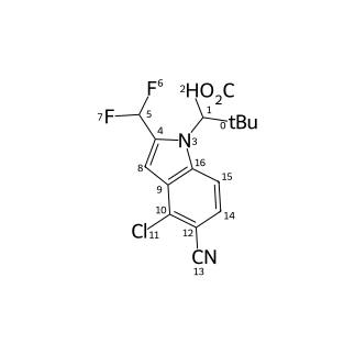 CC(C)(C)C(C(=O)O)n1c(C(F)F)cc2c(Cl)c(C#N)ccc21